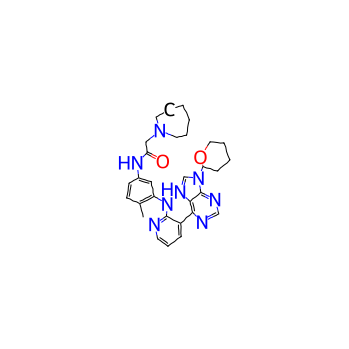 Cc1ccc(NC(=O)CN2CCCCCC2)cc1Nc1ncccc1-c1ncnc2c1ncn2C1CCCCO1